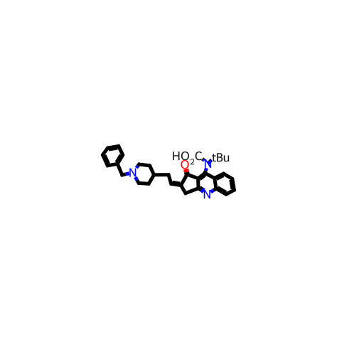 CC(C)(C)N(C(=O)O)c1c2c(nc3ccccc13)CC(=CCC1CCN(Cc3ccccc3)CC1)C2=O